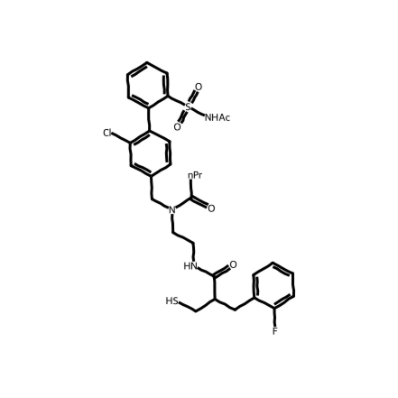 CCCC(=O)N(CCNC(=O)C(CS)Cc1ccccc1F)Cc1ccc(-c2ccccc2S(=O)(=O)NC(C)=O)c(Cl)c1